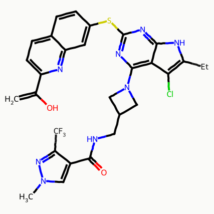 C=C(O)c1ccc2ccc(Sc3nc(N4CC(CNC(=O)c5cn(C)nc5C(F)(F)F)C4)c4c(Cl)c(CC)[nH]c4n3)cc2n1